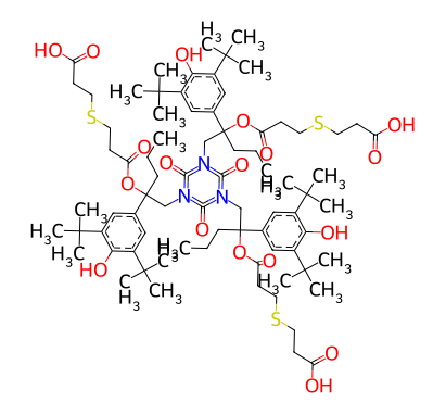 CCCC(Cn1c(=O)n(CC(CCC)(OC(=O)CCSCCC(=O)O)c2cc(C(C)(C)C)c(O)c(C(C)(C)C)c2)c(=O)n(CC(CCC)(OC(=O)CCSCCC(=O)O)c2cc(C(C)(C)C)c(O)c(C(C)(C)C)c2)c1=O)(OC(=O)CCSCCC(=O)O)c1cc(C(C)(C)C)c(O)c(C(C)(C)C)c1